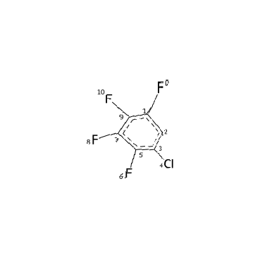 Fc1[c]c(Cl)c(F)c(F)c1F